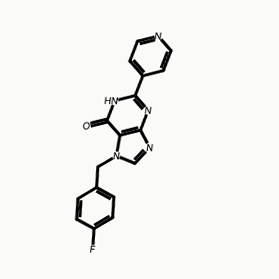 O=c1[nH]c(-c2ccncc2)nc2ncn(Cc3ccc(F)cc3)c12